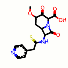 COC1CC2C(NC(=S)Cc3ccncc3)C(=O)N2C(C(=O)O)C1=O